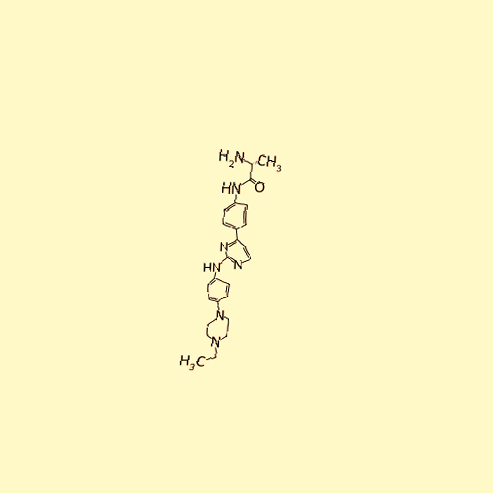 CCN1CCN(c2ccc(Nc3nccc(-c4ccc(NC(=O)[C@@H](C)N)cc4)n3)cc2)CC1